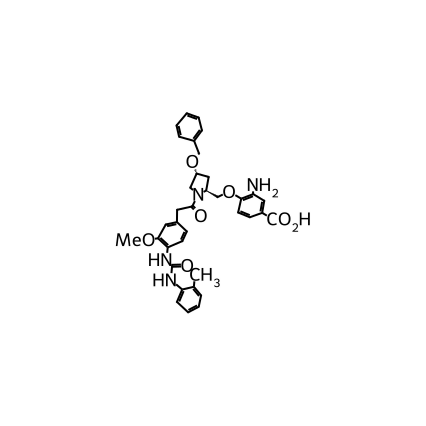 COc1cc(CC(=O)N2C[C@H](OCc3ccccc3)C[C@H]2COc2ccc(C(=O)O)cc2N)ccc1NC(=O)Nc1ccccc1C